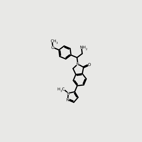 COc1ccc(C(CN)N2Cc3cc(-c4ccnn4C)ccc3C2=O)cc1